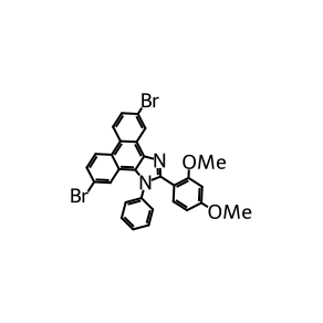 COc1ccc(-c2nc3c4cc(Br)ccc4c4ccc(Br)cc4c3n2-c2ccccc2)c(OC)c1